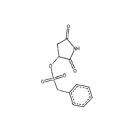 O=C1CC(OS(=O)(=O)Cc2ccccc2)C(=O)N1